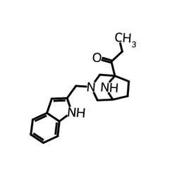 CCC(=O)C12CCC(CN(Cc3cc4ccccc4[nH]3)C1)N2